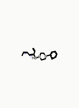 C=C/C(BN1CCN(c2ccccc2)CC1)=C\C=C/C